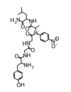 CC(C)CC(NC(=O)C(C)N(C(=O)CNC(=O)CNC(=O)C(N)Cc1ccc(O)cc1)c1ccc([N+](=O)[O-])cc1)C(N)=O